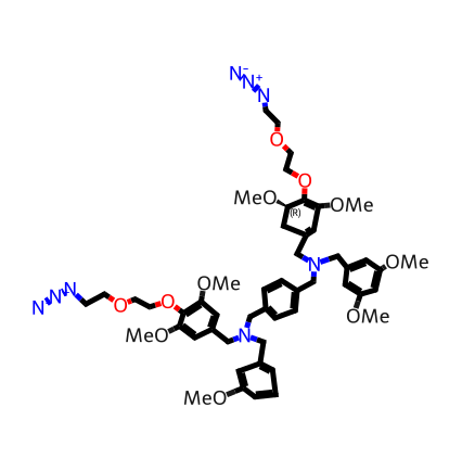 COC1=C(OCCOCCN=[N+]=[N-])[C@H](OC)CC(CN(Cc2ccc(CN(Cc3cccc(OC)c3)Cc3cc(OC)c(OCCOCCN=[N+]=[N-])c(OC)c3)cc2)Cc2cc(OC)cc(OC)c2)=C1